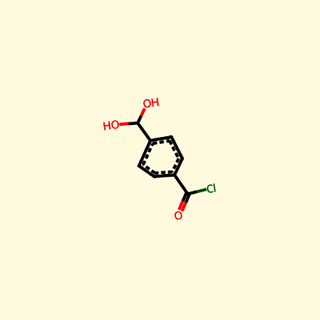 O=C(Cl)c1ccc(C(O)O)cc1